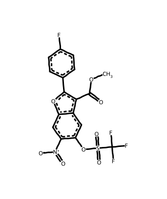 COC(=O)c1c(-c2ccc(F)cc2)oc2cc([N+](=O)[O-])c(OS(=O)(=O)C(F)(F)F)cc12